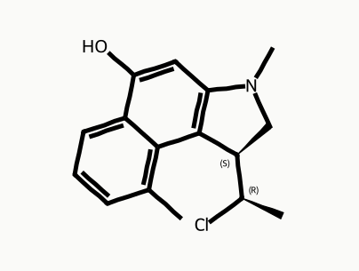 Cc1cccc2c(O)cc3c(c12)[C@H]([C@@H](C)Cl)CN3C